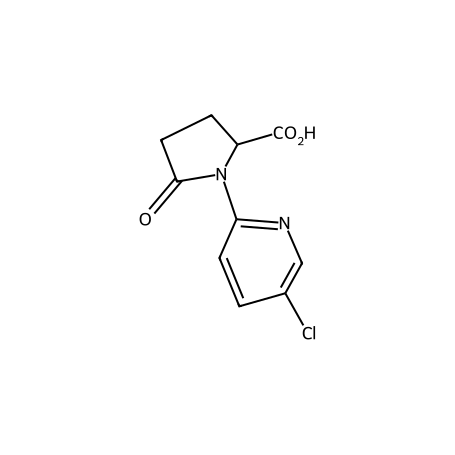 O=C(O)C1CCC(=O)N1c1ccc(Cl)cn1